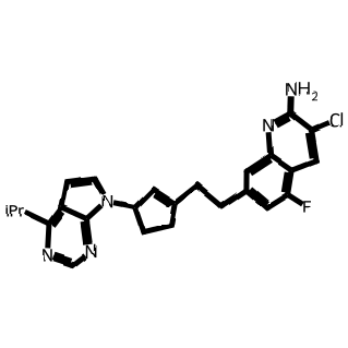 CC(C)c1ncnc2c1ccn2C1C=C(CCc2cc(F)c3cc(Cl)c(N)nc3c2)CC1